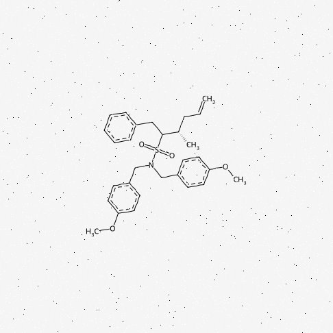 C=CC[C@H](C)C(Cc1ccccc1)S(=O)(=O)N(Cc1ccc(OC)cc1)Cc1ccc(OC)cc1